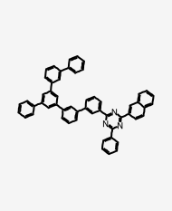 c1ccc(-c2cccc(-c3cc(-c4ccccc4)cc(-c4cccc(-c5cccc(-c6nc(-c7ccccc7)nc(-c7ccc8ccccc8c7)n6)c5)c4)c3)c2)cc1